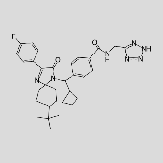 CC(C)(C)C1CCC2(CC1)N=C(c1ccc(F)cc1)C(=O)N2C(c1ccc(C(=O)NCc2nn[nH]n2)cc1)C1CCC1